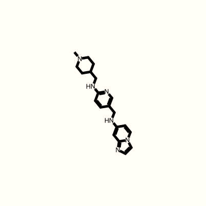 CN1CCC(CNc2ccc(CNc3ccn4ccnc4c3)cn2)CC1